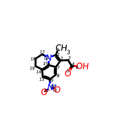 Cc1c(CC(=O)O)c2cc([N+](=O)[O-])cc3c2n1CCC3